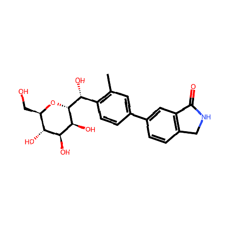 Cc1cc(-c2ccc3c(c2)C(=O)NC3)ccc1[C@@H](O)[C@H]1O[C@H](CO)[C@@H](O)[C@H](O)[C@@H]1O